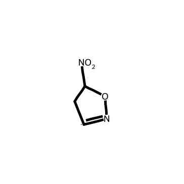 O=[N+]([O-])C1C[C]=NO1